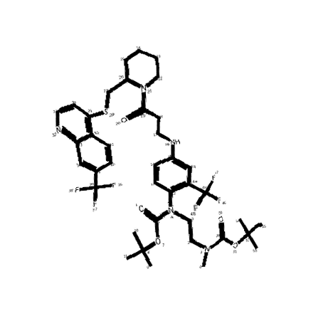 CN(CCN(C(=O)OC(C)(C)C)c1ccc(NCCC(=O)N2CCCCC2CSc2ccnc3cc(C(F)(F)F)ccc23)cc1C(F)(F)F)C(=O)OC(C)(C)C